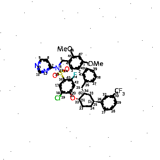 COc1ccc(CN(c2ccncn2)S(=O)(=O)c2cc(Cl)c(O[C@H]3[CH]C[C@H](c4cccc(C(F)(F)F)c4)C[C@H]3Cc3ccccc3)cc2F)c(OC)c1